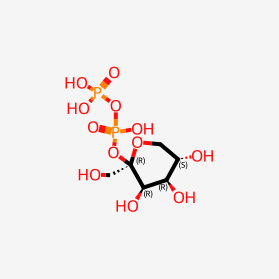 O=P(O)(O)OP(=O)(O)O[C@@]1(CO)OC[C@H](O)[C@@H](O)[C@H]1O